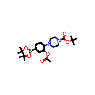 CC(=O)Oc1cc(B2OC(C)(C)C(C)(C)O2)ccc1N1CCN(C(=O)OC(C)(C)C)CC1